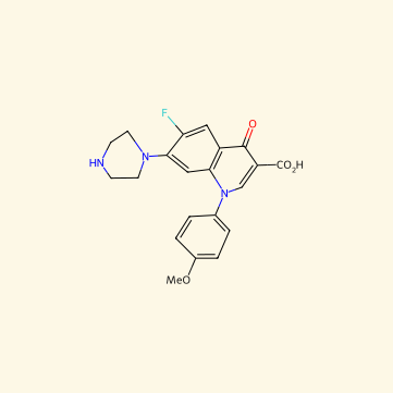 COc1ccc(-n2cc(C(=O)O)c(=O)c3cc(F)c(N4CCNCC4)cc32)cc1